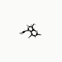 Cc1cc(I)c2c(C#N)sc(C)c2n1